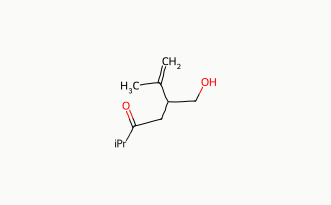 C=C(C)C(CO)CC(=O)C(C)C